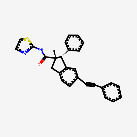 C[C@]1(C(=O)Nc2nccs2)Cc2ccc(C#Cc3ccccc3)cc2[C@H]1c1ccccc1